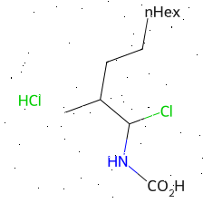 CCCCCCCCC(C)C(Cl)NC(=O)O.Cl